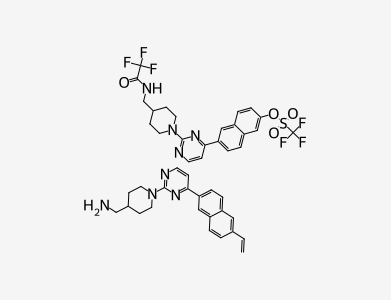 C=Cc1ccc2cc(-c3ccnc(N4CCC(CN)CC4)n3)ccc2c1.O=C(NCC1CCN(c2nccc(-c3ccc4cc(OS(=O)(=O)C(F)(F)F)ccc4c3)n2)CC1)C(F)(F)F